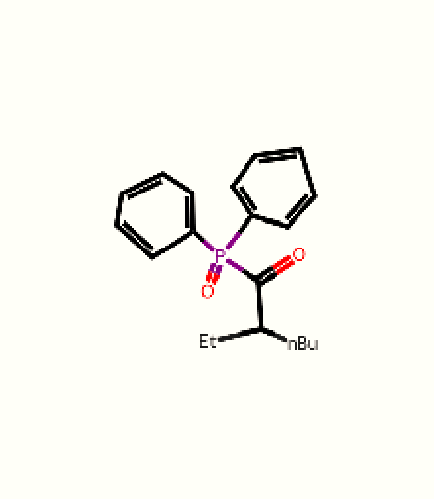 CCCCC(CC)C(=O)P(=O)(c1ccccc1)c1ccccc1